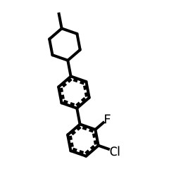 CC1CCC(c2ccc(-c3cccc(Cl)c3F)cc2)CC1